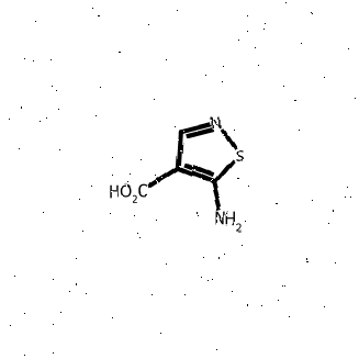 Nc1sncc1C(=O)O